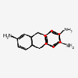 NC1=CC2C3c4ccc(N)cc4C(c4ccc(N)cc43)C2C=C1